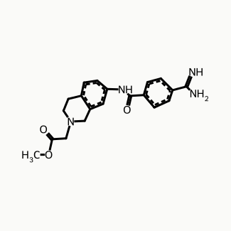 COC(=O)CN1CCc2ccc(NC(=O)c3ccc(C(=N)N)cc3)cc2C1